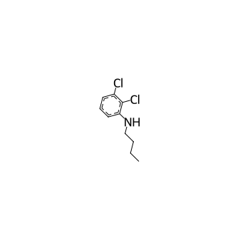 CCCCNc1cccc(Cl)c1Cl